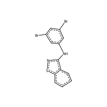 Brc1cc(Br)cc(Nc2nsc3ccccc23)c1